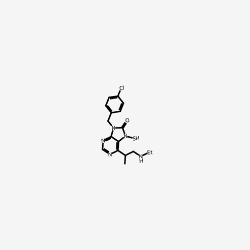 CCNCC(C)c1ncnc2c1n(S)c(=O)n2Cc1ccc(Cl)cc1